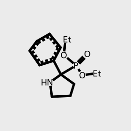 CCOP(=O)(OCC)C1(c2ccccc2)CCCN1